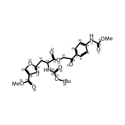 COC(=O)Nc1ccc(C(=O)COC(=O)C(Cc2nc(C(=O)OC)co2)NC(=O)OC(C)(C)C)cc1